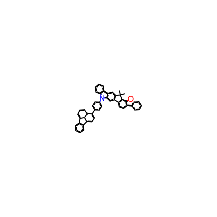 CC1(C)c2cc3c4ccccc4n(-c4ccc(C5=CC=C6c7ccccc7C7=CC=CC5C76)cc4)c3cc2-c2ccc3c(oc4ccccc43)c21